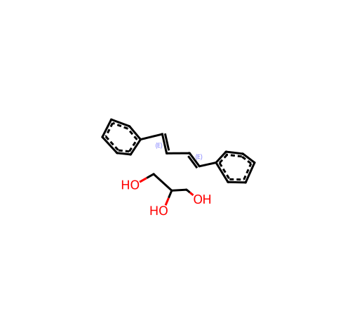 C(/C=C/c1ccccc1)=C\c1ccccc1.OCC(O)CO